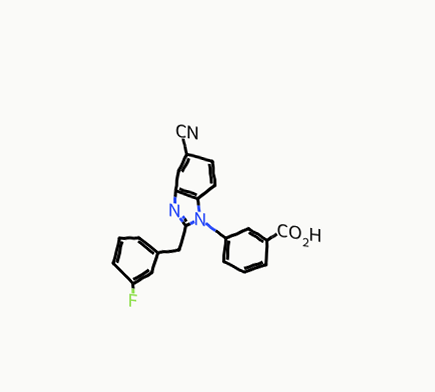 N#Cc1ccc2c(c1)nc(Cc1cccc(F)c1)n2-c1cccc(C(=O)O)c1